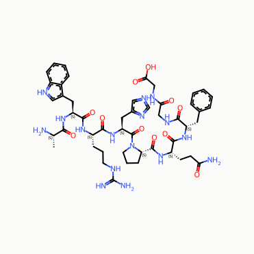 C[C@H](N)C(=O)N[C@@H](Cc1c[nH]c2ccccc12)C(=O)N[C@@H](CCCNC(=N)N)C(=O)N[C@@H](Cc1c[nH]cn1)C(=O)N1CCC[C@H]1C(=O)N[C@@H](CCC(N)=O)C(=O)N[C@@H](Cc1ccccc1)C(=O)NCC(=O)NCC(=O)O